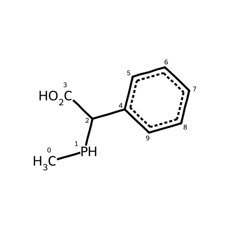 CPC(C(=O)O)c1ccccc1